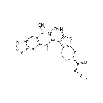 COC(=O)[C@H]1CCc2c(sc3ncnc(Nc4nc5ccnn5cc4OC)c23)C1